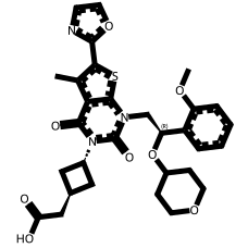 COc1ccccc1[C@H](Cn1c(=O)n([C@H]2C[C@H](CC(=O)O)C2)c(=O)c2c(C)c(-c3ncco3)sc21)OC1CCOCC1